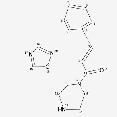 O=C(C=Cc1ccccc1)N1CCNCC1.c1ncon1